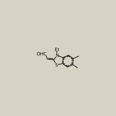 CCN1C(=CC=O)Sc2cc(C)c(C)cc21